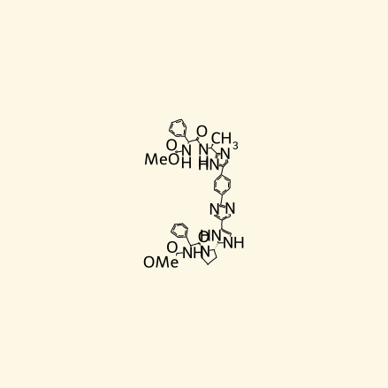 COC(=O)N[C@@H](C(=O)N[C@@H](C)c1ncc(-c2ccc(-c3ncc(C4=CNC([C@@H]5CCCN5C(=O)[C@H](NC(=O)OC)c5ccccc5)N4)cn3)cc2)[nH]1)c1ccccc1